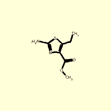 CCc1sc(N)nc1C(=O)OC